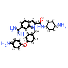 N=C(N)c1ccc2cc(C(=O)N[C@H]3CC[C@H](N)CC3)n(Cc3ccc(Oc4ccc(N)cc4)cc3)c2c1